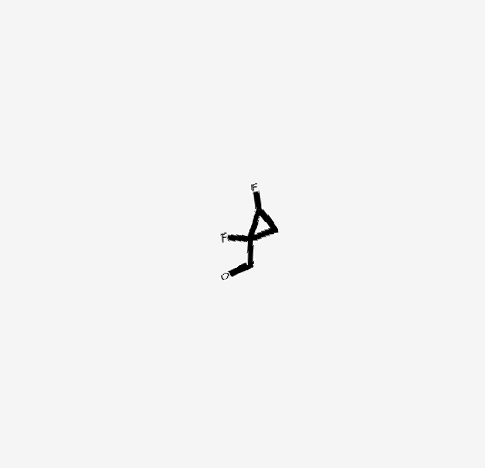 O=[C]C1(F)CC1F